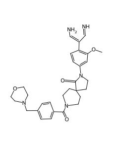 COc1cc(N2CCC3(CCN(C(=O)c4ccc(CN5CCOCC5)cc4)CC3)C2=O)ccc1/C(C=N)=C/N